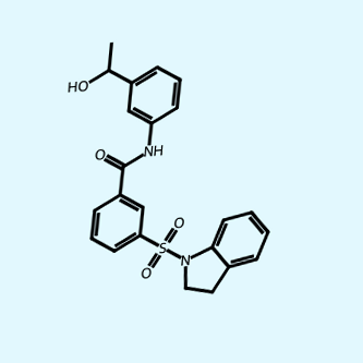 CC(O)c1cccc(NC(=O)c2cccc(S(=O)(=O)N3CCc4ccccc43)c2)c1